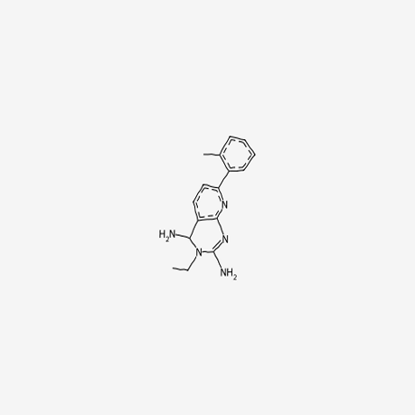 CCN1C(N)=Nc2nc(-c3ccccc3C)ccc2C1N